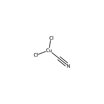 N#[C][Cu]([Cl])[Cl]